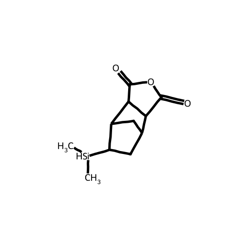 C[SiH](C)C1CC2CC1C1C(=O)OC(=O)C21